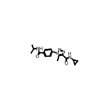 Cc1c(C(=O)NC2CC2)nnn1-c1ccc(C(=O)NC(C)C)cc1